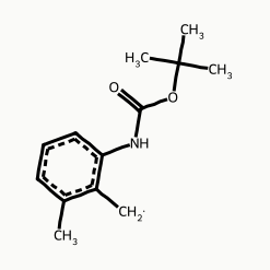 [CH2]c1c(C)cccc1NC(=O)OC(C)(C)C